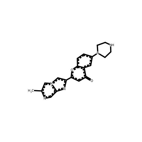 Cc1cn2cc(-c3cc(=O)c4cc(N5CCNCC5)ccc4o3)nc2cn1